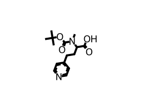 CN(C(=O)OC(C)(C)C)C(CCc1ccncc1)C(=O)O